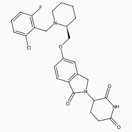 O=C1CCC(N2Cc3cc(OC[C@@H]4CCCCN4Cc4c(F)cccc4Cl)ccc3C2=O)C(=O)N1